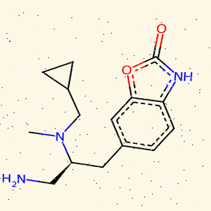 CN(CC1CC1)[C@H](CN)Cc1ccc2[nH]c(=O)oc2c1